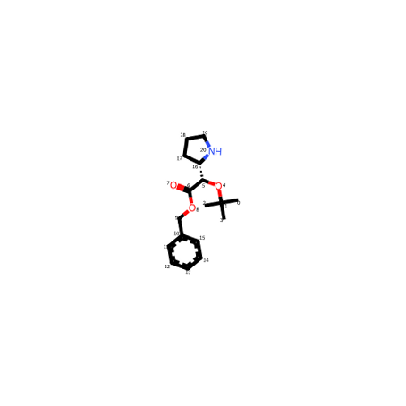 CC(C)(C)OC(C(=O)OCc1ccccc1)[C@@H]1CCCN1